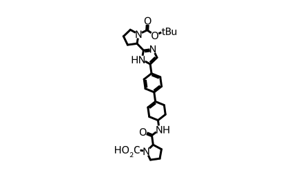 CC(C)(C)OC(=O)N1CCCC1c1ncc(-c2ccc(C3=CCC(NC(=O)C4CCCN4C(=O)O)CC3)cc2)[nH]1